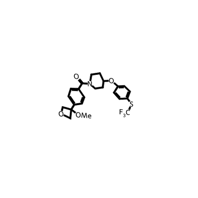 COC1(c2ccc(C(=O)N3CCC(Oc4ccc(SC(F)(F)F)cc4)CC3)cc2)COC1